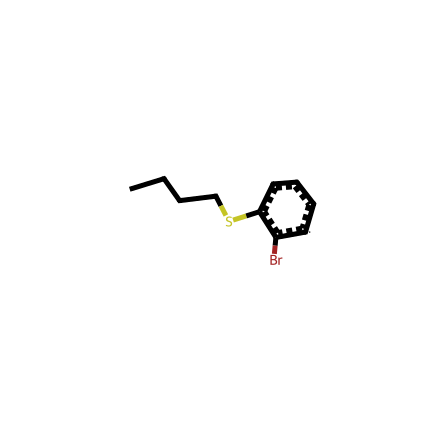 CCCCSc1ccc[c]c1Br